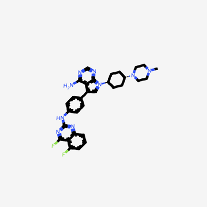 CN1CCN([C@H]2CC[C@H](n3cc(-c4ccc(Nc5nc(F)c6c(F)cccc6n5)cc4)c4c(N)ncnc43)CC2)CC1